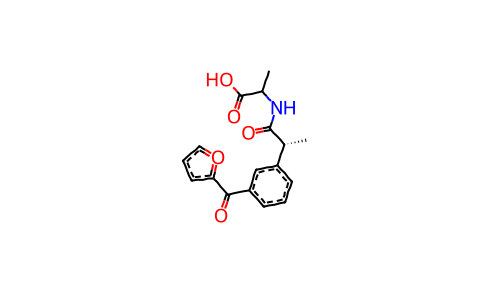 CC(NC(=O)[C@H](C)c1cccc(C(=O)c2ccco2)c1)C(=O)O